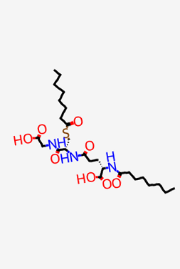 CCCCCCCC(=O)N[C@@H](CCC(=O)N[C@@H](CSC(=O)CCCCCCC)C(=O)NCC(=O)O)C(=O)O